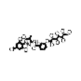 CC1C(=O)N(c2c(Cl)cc(Cl)cc2Cl)N=C1NC(=O)c1cccc(OC(=O)C(=O)C(=O)C(=O)C(=O)C(=O)C=O)c1